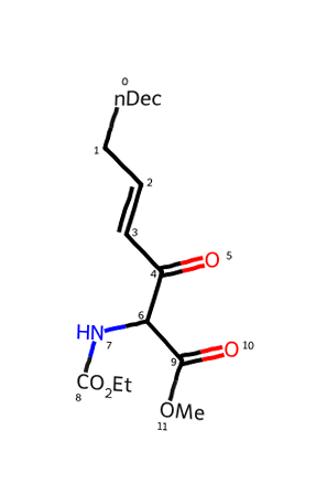 CCCCCCCCCCC/C=C/C(=O)C(NC(=O)OCC)C(=O)OC